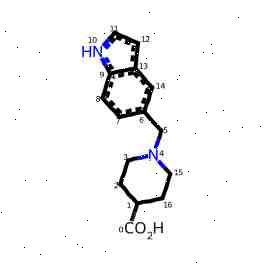 O=C(O)C1CCN(Cc2ccc3[nH]ccc3c2)CC1